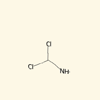 [NH]C(Cl)Cl